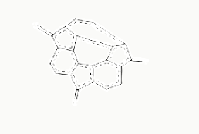 O=c1c2ccc3c(=O)c4ccc5c(=O)c6ccc1c1c2c3c4c5c61